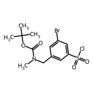 CN(Cc1cc(Br)cc(S(=O)(=O)Cl)c1)C(=O)OC(C)(C)C